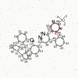 CC(C)(C)c1ccc(-c2nnc(-c3cccc4c3Oc3ccccc3C43c4ccccc4-c4ccccc43)cc2-c2ccccc2-c2ccccc2)cc1